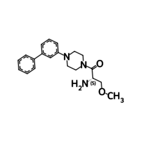 COC[C@H](N)C(=O)N1CCN(c2cccc(-c3ccccc3)c2)CC1